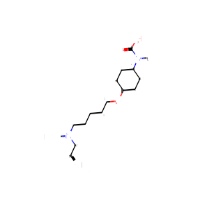 C=CCN(C)CCCCCOC1CCC(N(C)C(=O)O)CC1